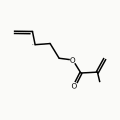 C=C[CH]CCOC(=O)C(=C)C